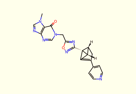 Cn1cnc2ncn(Cc3nc([C@]45C6=C(c7ccncc7)C[C@@H]4[C@H]65)no3)c(=O)c21